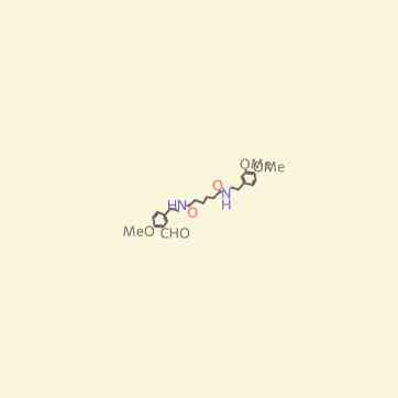 COc1ccc(CCNC(=O)CCCCC(=O)NCCc2ccc(OC)c(OC)c2)cc1C=O